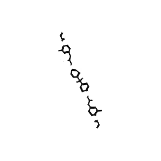 C=CC(=O)Oc1ccc(CC(O)COc2ccc(C(C)(C)c3ccc(OCC(O)Cc4ccc(OC(=O)C=C)c(C)c4)cc3)cc2)cc1C